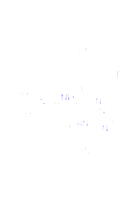 COC(=O)N(C)[C@@H]1[C@H](N)C[C@H](c2ccncc2Nc2ncc3ccc(-c4c(F)cc(O)cc4F)nn23)C[C@@H]1C